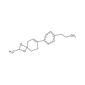 CCCc1ccc(C2=CCC3(CC2)OC(C)O3)cc1